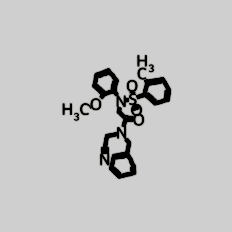 COc1ccccc1N(CC(=O)N(CC#N)Cc1ccccc1)S(=O)(=O)c1ccccc1C